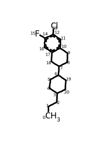 CCCC1CCC(C2CCc3cc(Cl)c(F)cc3C2)CC1